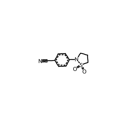 N#Cc1ccc(N2CCCS2(=O)=O)cc1